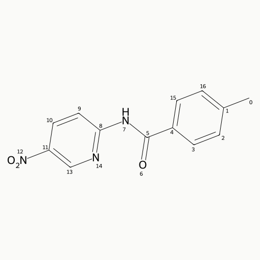 Cc1ccc(C(=O)Nc2ccc([N+](=O)[O-])cn2)cc1